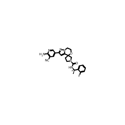 C[C@@H](NC(=O)N1CCC2(C1)OCCn1nc(-c3cnc(N)c(C#N)c3)cc12)c1ccccc1F